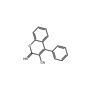 N#Cc1c(-c2ccccc2)c2ccccc2oc1=N